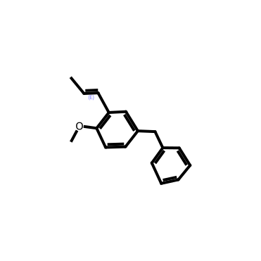 C/C=C/c1cc(Cc2ccccc2)ccc1OC